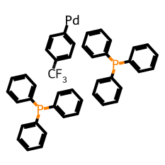 FC(F)(F)c1cc[c]([Pd])cc1.c1ccc(P(c2ccccc2)c2ccccc2)cc1.c1ccc(P(c2ccccc2)c2ccccc2)cc1